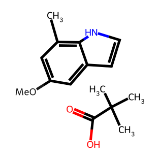 CC(C)(C)C(=O)O.COc1cc(C)c2[nH]ccc2c1